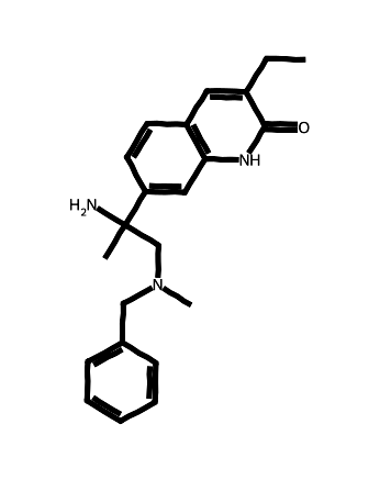 CCc1cc2ccc(C(C)(N)CN(C)Cc3ccccc3)cc2[nH]c1=O